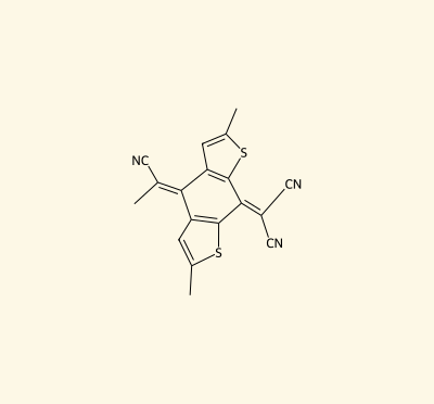 CC(C#N)=c1c2cc(C)sc2c(=C(C#N)C#N)c2sc(C)cc12